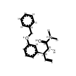 C=C[C@@H](c1cccc(OCc2ccccc2)c1)[C@@H](C)C(=O)N(C)C